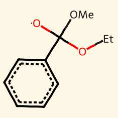 CCOC([O])(OC)c1ccccc1